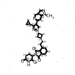 Cn1ncc2cnc(-c3cn([C@H]4C[C@H](CCc5cccc6c5C(=O)N(C5CCC(=O)NC5=O)C6=O)C4)nc3C3CC3)cc21